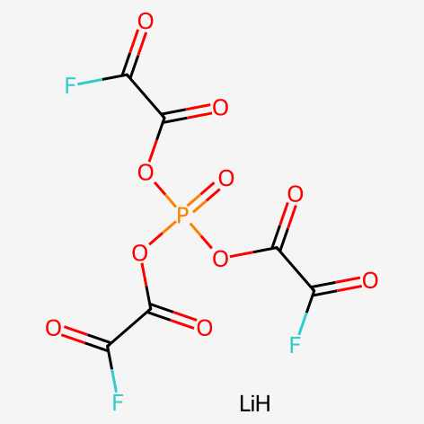 O=C(F)C(=O)OP(=O)(OC(=O)C(=O)F)OC(=O)C(=O)F.[LiH]